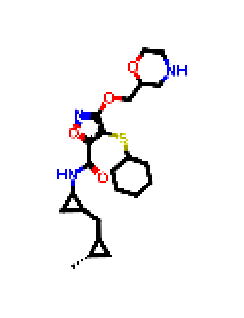 C[C@H]1CC1CC1CC1NC(=O)c1onc(OCC2CNCCO2)c1SC1CCCCC1